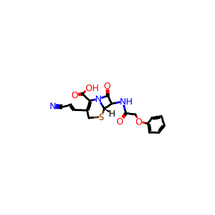 N#CC=CC1=C(C(=O)O)N2C(=O)C(NC(=O)COc3ccccc3)[C@@H]2SC1